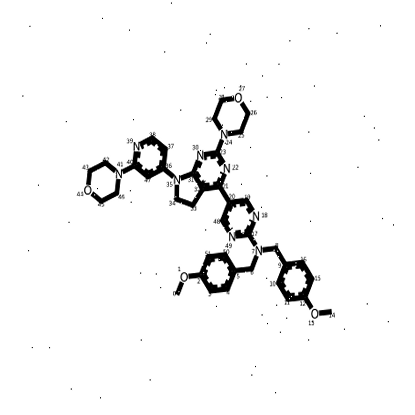 COc1ccc(CN(Cc2ccc(OC)cc2)c2ncc(-c3nc(N4CCOCC4)nc4c3CCN4c3ccnc(N4CCOCC4)c3)cn2)cc1